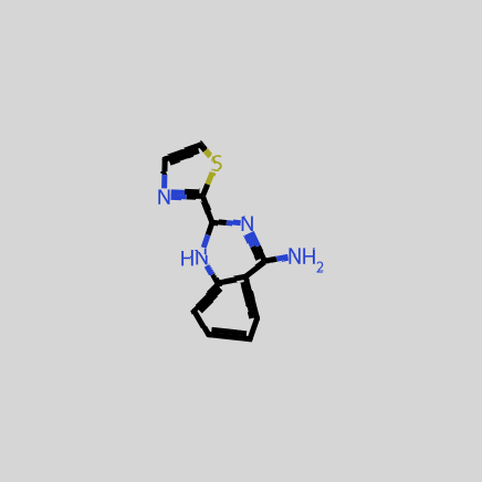 NC1=NC(c2nccs2)Nc2ccccc21